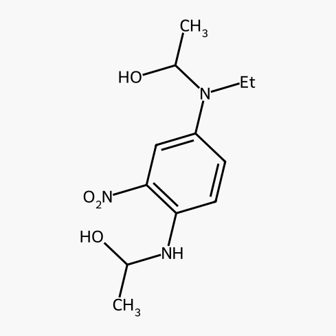 CCN(c1ccc(NC(C)O)c([N+](=O)[O-])c1)C(C)O